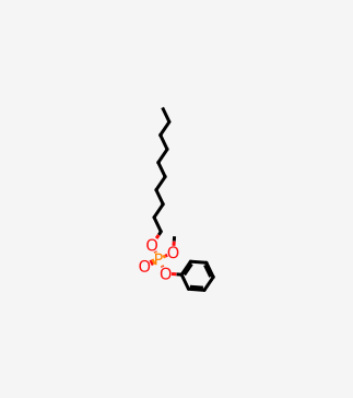 CCCCCCCCCCOP(=O)(OC)Oc1ccccc1